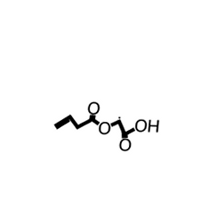 C=CCC(=O)O[CH]C(=O)O